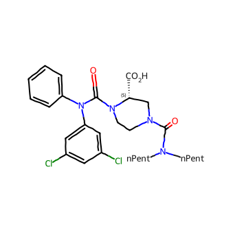 CCCCCN(CCCCC)C(=O)N1CCN(C(=O)N(c2ccccc2)c2cc(Cl)cc(Cl)c2)[C@H](C(=O)O)C1